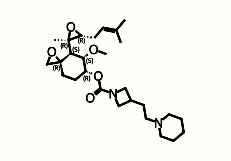 CO[C@@H]1[C@H](OC(=O)N2CC(CCN3CCCCC3)C2)CC[C@]2(CO2)[C@H]1[C@@]1(C)O[C@@H]1CC=C(C)C